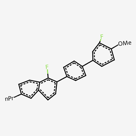 CCCc1ccc2c(F)c(-c3ccc(-c4ccc(OC)c(F)c4)cc3)ccc2c1